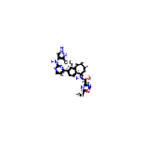 Cc1n[nH]cc1Nc1nccc(-c2ccc3c(c2)CCCC[C@H]3NC(=O)c2noc(C(C)(C)C)n2)n1